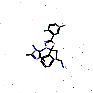 Cc1nc(C)n(C)c1N1N=C(c2cc(F)ccc2F)SC1(CCCN)c1ccccc1